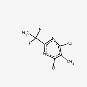 Cc1c(Cl)nc(C(C)(F)F)nc1Cl